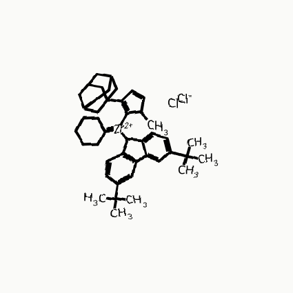 CC1C=CC(C23CC4CC(CC(C4)C2)C3)=[C]1[Zr+2](=[C]1CCCCC1)[CH]1c2ccc(C(C)(C)C)cc2-c2cc(C(C)(C)C)ccc21.[Cl-].[Cl-]